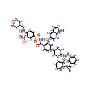 O=C(NS(=O)(=O)c1ccc(NCC2CCOCC2)c([N+](=O)[O-])c1)c1ccc(C2=CCC(N3Cc4ccccc4C3c3ccccc3C3CC3)CC2)cc1Oc1cnc2[nH]ccc2c1